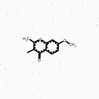 COc1ccc2c(=O)c(I)c(C)sc2c1